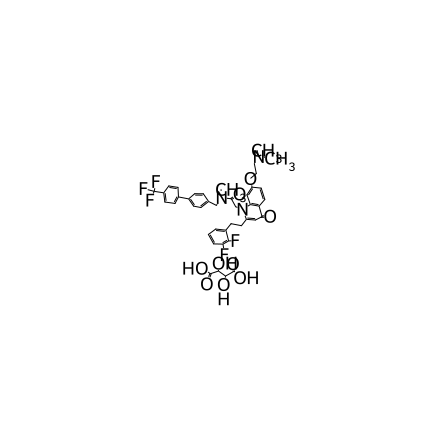 CN(C)CCOc1ccc2c(=O)cc(CCc3cccc(F)c3F)n(CC(=O)N(C)Cc3ccc(-c4ccc(C(F)(F)F)cc4)cc3)c2c1.O=C(O)C(O)C(O)C(=O)O